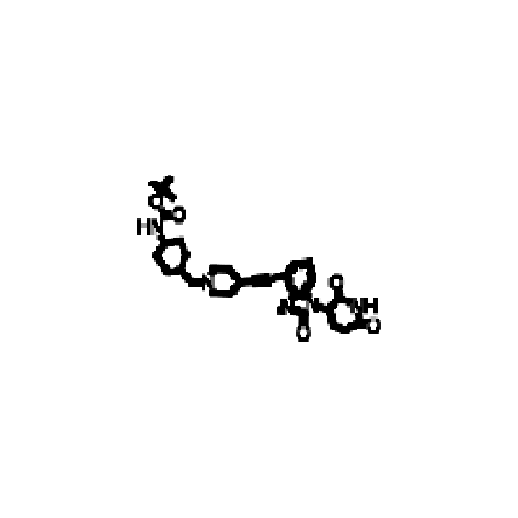 Cn1c(=O)n(C2CCC(=O)NC2=O)c2cccc(C#CC3CCN(CC4CCC(NC(=O)OC(C)(C)C)CC4)CC3)c21